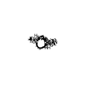 Cc1noc(C)c1S(=O)(=O)NC(=O)[C@@]12C[C@H]1/C=C\CCCCC[C@H](NC(=O)OC(C)(C)C)C(=O)N1CCC[C@H]1C(=O)N2